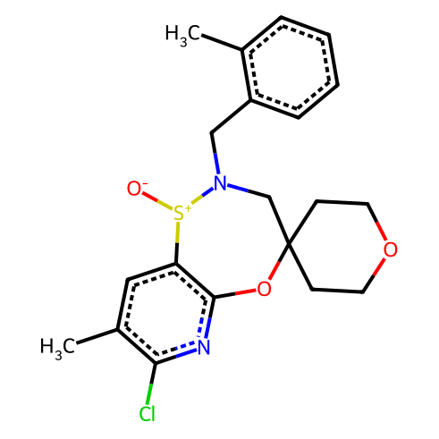 Cc1ccccc1CN1CC2(CCOCC2)Oc2nc(Cl)c(C)cc2[S+]1[O-]